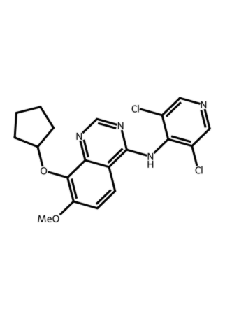 COc1ccc2c(Nc3c(Cl)cncc3Cl)ncnc2c1OC1CCCC1